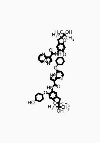 CC(C)(O)[C@@]1(C)Cc2cc(NC(=O)c3cnn4c(O[C@H]5CC[C@H](Oc6cc7c(cc6NC(=O)c6cnn8cccnc68)C[C@@](C)(C(C)(C)O)O7)CC5)ccnc34)c(O[C@H]3CC[C@H](O)CC3)cc2O1